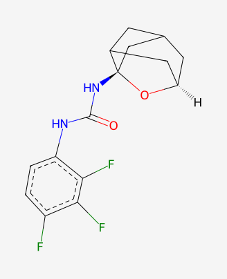 O=C(Nc1ccc(F)c(F)c1F)N[C@]12CC3CC1C[C@@H](C3)O2